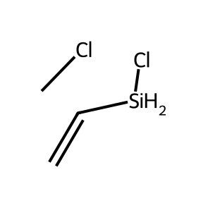 C=C[SiH2]Cl.CCl